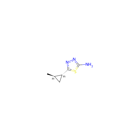 C[C@@H]1C[C@H]1c1nnc(N)s1